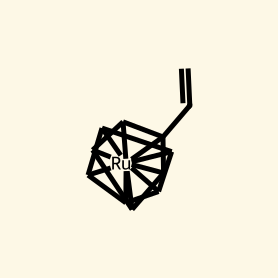 C=C[C]12[CH]3[CH]4[CH]5[CH]1[Ru]45321678[CH]2[CH]1[CH]6[CH]7[CH]28